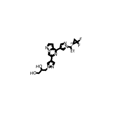 CCC([C@@H]1CC1(F)F)n1cc(-c2nc(-c3cnn(CC(O)CO)c3)cn3nccc23)cn1